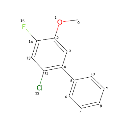 COc1cc(-c2cc[c]cc2)c(Cl)cc1F